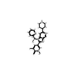 C=C1C(C)=CC(c2nc3cnc(C4CCOCC4)cc3n2[C@@H](C)c2ccccn2)=CN1C